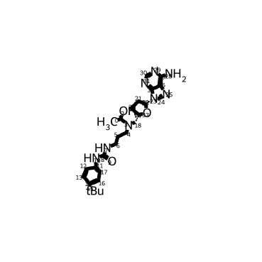 CC(O)N(CCCNC(=O)Nc1ccc(C(C)(C)C)cc1)C[C@@H]1CC[C@H](n2cnc3c(N)ncnc32)O1